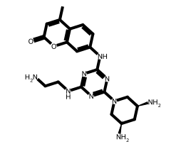 Cc1cc(=O)oc2cc(Nc3nc(NCCN)nc(N4C[C@H](N)C[C@H](N)C4)n3)ccc12